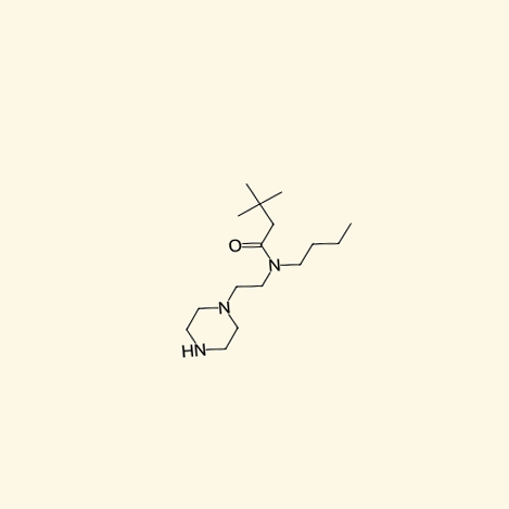 CCCCN(CCN1CCNCC1)C(=O)CC(C)(C)C